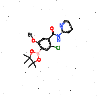 CCOc1cc(C(=O)Nc2ccccn2)c(Cl)cc1B1OC(C)(C)C(C)(C)O1